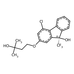 CC(C)(O)CCOc1cc(Cl)c2c(c1)[C@@](O)(C(F)(F)F)c1ccccc1-2